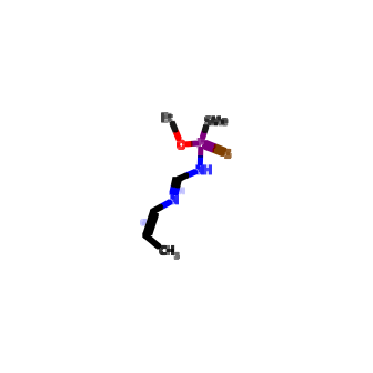 C/C=C\N=C\NP(=S)(OCC)SC